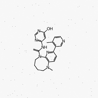 C=C(Nc1cc(O)ncn1)N1CCCCN(C)c2ccc(-c3cnccc3C)nc21